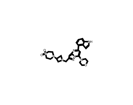 O=S1(=O)CCN(C2CN(Cc3cc4nc(-c5cccc6[nH]ccc56)cc(N5CCOCC5)n4n3)C2)CC1